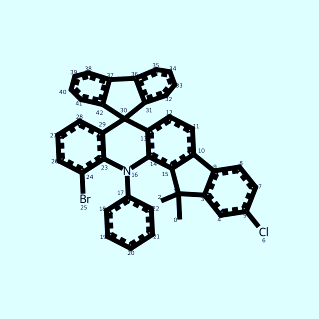 CC1(C)c2cc(Cl)ccc2-c2ccc3c(c21)N(c1ccccc1)c1c(Br)cccc1C31c2ccccc2-c2ccccc21